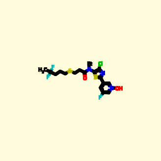 CCN(C(=O)CCSCCCC(C)(F)F)c1sc(-c2cc(F)c[n+](O)c2)nc1Cl